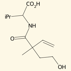 C=CC(C)(CCO)C(=O)NC(C(=O)O)C(C)C